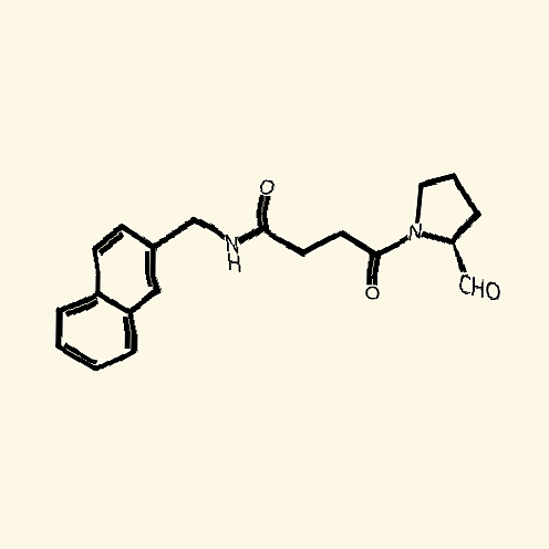 O=C[C@@H]1CCCN1C(=O)CCC(=O)NCc1ccc2ccccc2c1